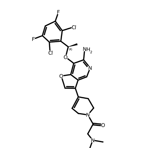 C[C@@H](Oc1c(N)ncc2c(C3=CCN(C(=O)CN(C)C)CC3)coc12)c1c(Cl)c(F)cc(F)c1Cl